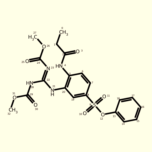 CCC(=O)Nc1ccc(S(=O)(=O)Oc2ccccc2)cc1NC(=NC(=O)OC)NC(=O)OC